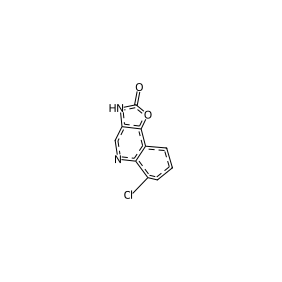 O=c1[nH]c2cnc3c(Cl)cccc3c2o1